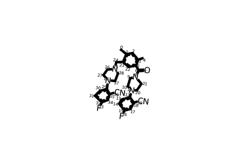 Cc1cc(C)c(C(=O)N2CCN(c3ccc(F)cc3C#N)CC2)cc1CN1CCN(c2ccc(F)cc2C#N)CC1